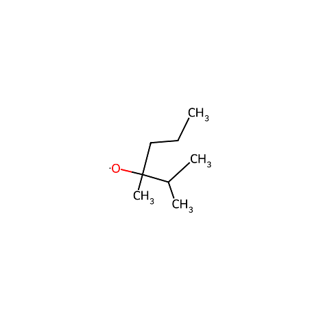 CCCC(C)([O])C(C)C